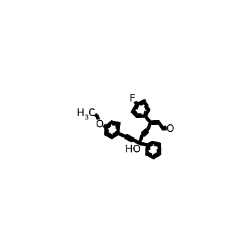 CCOc1ccc(C#CC(O)(C#C/C(=C\C=O)c2ccc(F)cc2)c2ccccc2)cc1